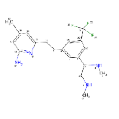 CNCC(NC)c1cc(CCc2cc(C)cc(N)n2)cc(C(F)(F)F)c1